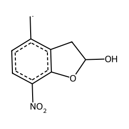 [CH2]c1ccc([N+](=O)[O-])c2c1CC(O)O2